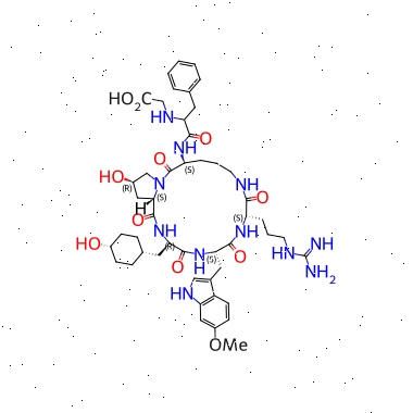 COc1ccc2c(C[C@@H]3NC(=O)[C@@H](C[C@H]4CC[C@@H](O)CC4)NC(=O)[C@@H]4C[C@@H](O)CN4C(=O)[C@@H](NC(=O)C(Cc4ccccc4)NCC(=O)O)CCCNC(=O)[C@H](CCCNC(=N)N)NC3=O)c[nH]c2c1